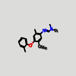 CCN(C)C=Nc1cc(OC)c(Oc2ccccc2C)cc1C